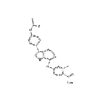 CNC(=O)c1ccc(Nc2nccn3c(-c4ccc(OC(F)F)cc4)cnc23)cc1C